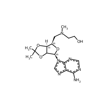 CN(CCO)C[C@H]1O[C@@H](n2cnc3c(N)ncnc32)C2OC(C)(C)O[C@H]21